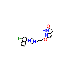 O=C1CCc2ccc(OCCCCN3CCN(c4ccc(F)c5ccccc45)CC3)nc2N1